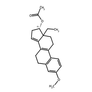 CCC12CCC3=C(CCc4cc(OC)ccc43)C1=CC[C@@H]2OC(C)=O